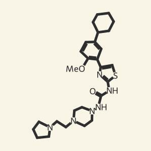 COc1ccc(C2CCCCC2)cc1-c1csc(NC(=O)NN2CCN(CCN3CCCC3)CC2)n1